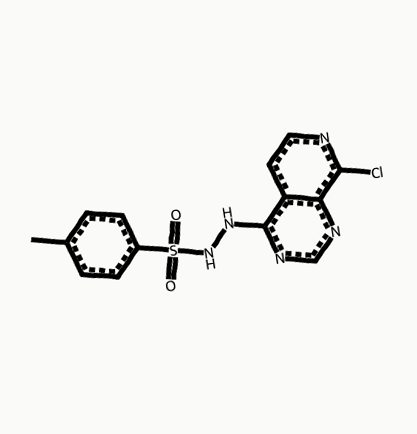 Cc1ccc(S(=O)(=O)NNc2ncnc3c(Cl)nccc23)cc1